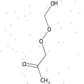 CC(=O)COOCO